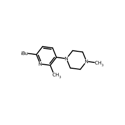 CCC(C)c1ccc(N2CCN(C)CC2)c(C)n1